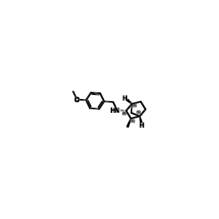 COc1ccc(CN[C@@H]2[C@@H]3CC[C@@H](C3)[C@H]2C)cc1